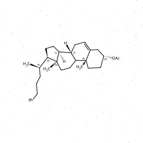 CC(=O)O[C@@H]1CC[C@@]2(C)C(=CC[C@@H]3C2CC[C@]2(C)[C@@H]([C@H](C)CCCC(C)C)CC[C@@H]32)C1